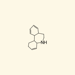 C1=CC2CCNC3C=CCCC3C2C=C1